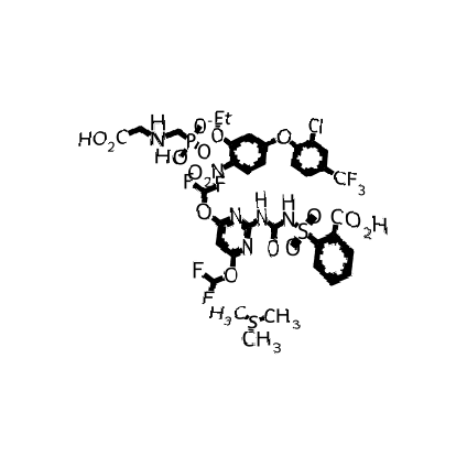 CCOc1cc(Oc2ccc(C(F)(F)F)cc2Cl)ccc1[N+](=O)[O-].C[S+](C)C.O=C(Nc1nc(OC(F)F)cc(OC(F)F)n1)NS(=O)(=O)c1ccccc1C(=O)O.O=C(O)CNCP(=O)([O-])O